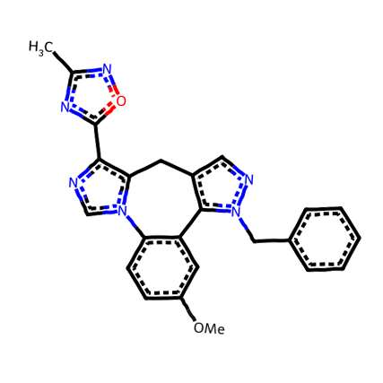 COc1ccc2c(c1)-c1c(cnn1Cc1ccccc1)Cc1c(-c3nc(C)no3)ncn1-2